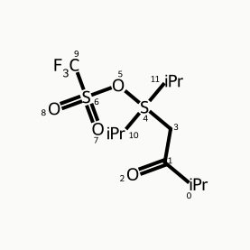 CC(C)C(=O)CS(OS(=O)(=O)C(F)(F)F)(C(C)C)C(C)C